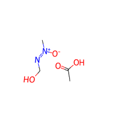 CC(=O)O.C[N+]([O-])=NCO